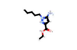 CCCCCn1nc(C(=O)OCC)cc1N